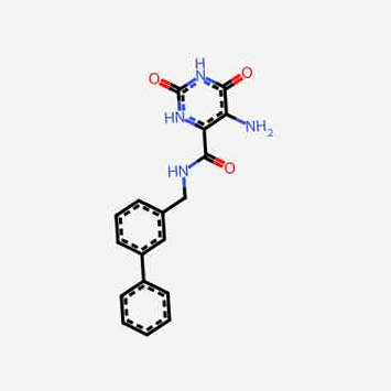 Nc1c(C(=O)NCc2cccc(-c3ccccc3)c2)[nH]c(=O)[nH]c1=O